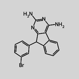 Nc1nc(N)c2c(n1)C(c1cccc(Br)c1)c1ccccc1-2